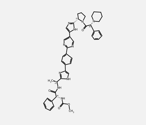 COC(=O)N[C@@H](C(=O)N[C@@H](C)c1nc(-c2ccc(-c3ncc(-c4cnc([C@@H]5CCCN5C(=O)[C@@H](c5ccccc5)N5CCCCC5)[nH]4)cn3)cc2)c[nH]1)c1ccccc1